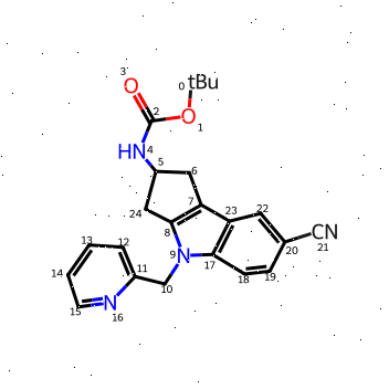 CC(C)(C)OC(=O)NC1Cc2c(n(Cc3ccccn3)c3ccc(C#N)cc23)C1